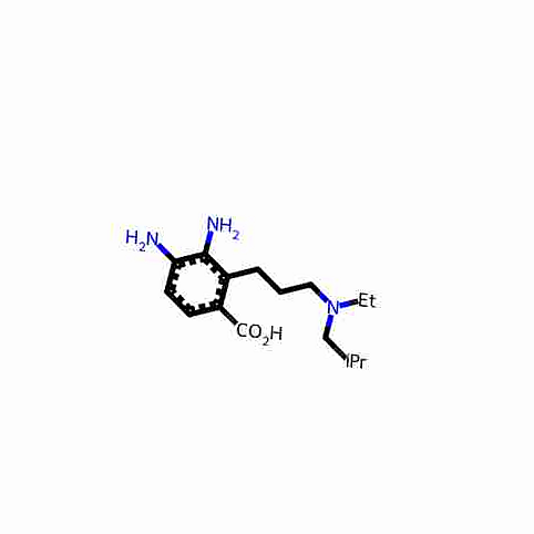 CCN(CCCc1c(C(=O)O)ccc(N)c1N)CC(C)C